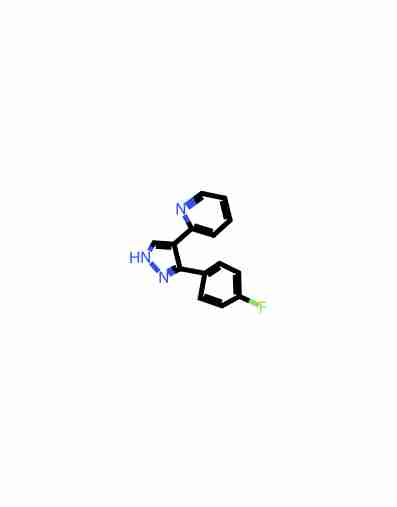 Fc1ccc(-c2n[nH]cc2-c2ccccn2)cc1